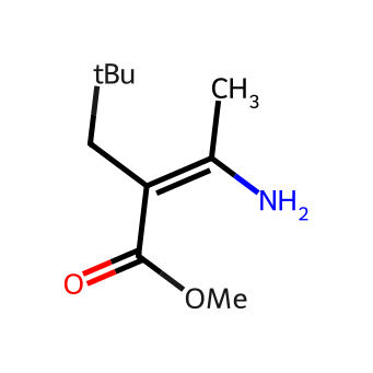 COC(=O)C(CC(C)(C)C)=C(C)N